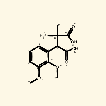 COc1cccc(C(C(=O)O)C(C)([SiH3])C(=O)O)c1OC